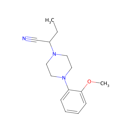 CCC(C#N)N1CCN(c2ccccc2OC)CC1